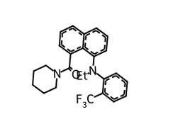 CCN(c1ccccc1C(F)(F)F)c1cccc2cccc(C(=O)N3CCCCC3)c12